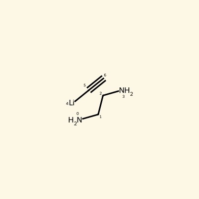 NCCN.[Li][C]#C